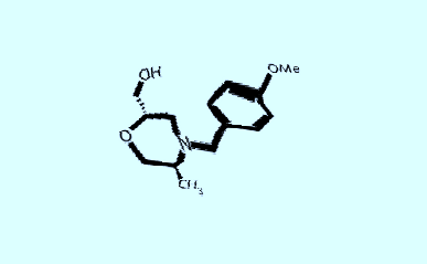 COc1ccc(CN2C[C@@H](CO)OC[C@@H]2C)cc1